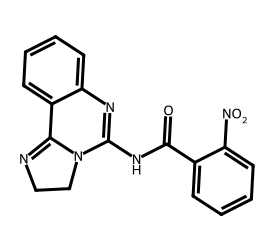 O=C(NC1=Nc2ccccc2C2=NCCN12)c1ccccc1[N+](=O)[O-]